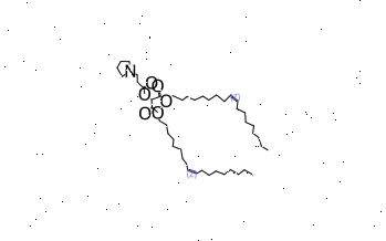 CCCCCCCC/C=C\CCCCCCCCOC(=O)C(OC(=O)CCN1CCCC1)C(=O)OCCCCCCCC/C=C\CCCCCCCC